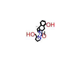 CC1(C)[C@H]2Cc3c(O)cccc3[C@]1(C)CCN2C(=O)N1CCCC1CO